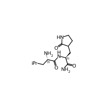 CC(C)C[C@H](N)C(=O)N[C@@H](CC1CCNC1=O)C(N)=O